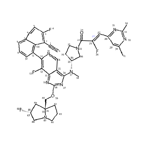 C#Cc1c(F)ccc2cccc(-c3ncc4c(N(C)[C@@H]5CCN(C(=O)/C(F)=C/c6cc(C)nc(C)n6)C5)nc(OC[C@@]56CCCN5C[C@H](F)C6)nc4c3F)c12